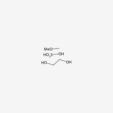 COC.O=S(=O)(O)O.OCCO